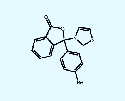 Nc1ccc(C2(N3C=CSC3)OC(=O)c3ccccc32)cc1